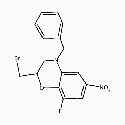 O=[N+]([O-])c1cc(F)c2c(c1)N(Cc1ccccc1)CC(CBr)O2